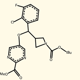 COC(=O)c1ncc(OC(c2cccc(F)c2Cl)C2CN(C(=O)OC(C)(C)C)C2)cn1